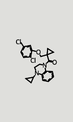 O=C(N1CCN(C2CC2)c2ccccc21)C1(COc2cc(Cl)ccc2Cl)CC1